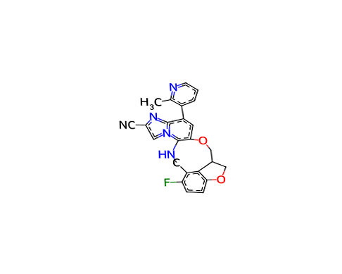 Cc1ncccc1-c1cc2c(n3cc(C#N)nc13)NCc1c(F)ccc3c1C(CO3)CO2